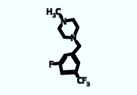 CN1CCN(Cc2cc(F)cc(C(F)(F)F)c2)CC1